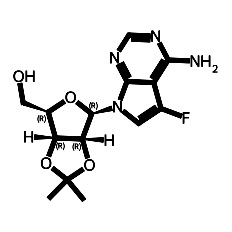 CC1(C)O[C@@H]2[C@H](O1)[C@@H](CO)O[C@H]2n1cc(F)c2c(N)ncnc21